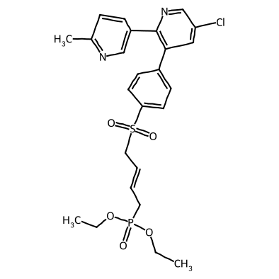 CCOP(=O)(C/C=C/CS(=O)(=O)c1ccc(-c2cc(Cl)cnc2-c2ccc(C)nc2)cc1)OCC